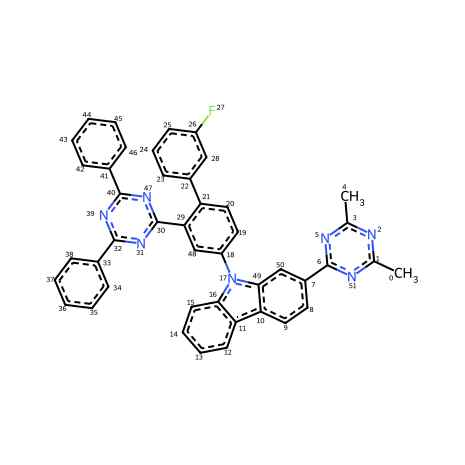 Cc1nc(C)nc(-c2ccc3c4ccccc4n(-c4ccc(-c5cccc(F)c5)c(-c5nc(-c6ccccc6)nc(-c6ccccc6)n5)c4)c3c2)n1